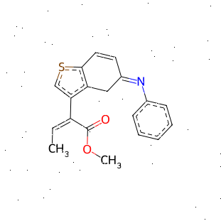 CC=C(C(=O)OC)c1csc2c1CC(=Nc1ccccc1)C=C2